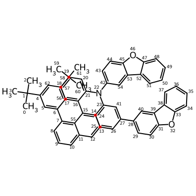 CC(C)(C)c1cc(-c2cccc3cccc(-c4ccccc4N(c4cccc(-c5ccc6oc7ccccc7c6c5)c4)c4ccc5oc6ccccc6c5c4)c23)cc(C(C)(C)C)c1